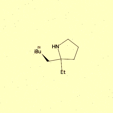 CC[C@H](C)CC1(CC)CCCN1